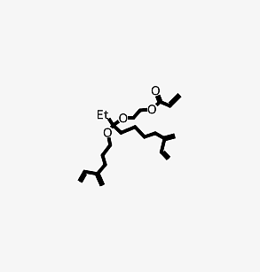 C=CC(=C)CCCCC(CC)(OCCCC(=C)C=C)OCCOC(=O)C=C